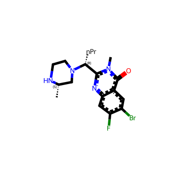 CCC[C@H](c1nc2cc(F)c(Br)cc2c(=O)n1C)N1CCN[C@@H](C)C1